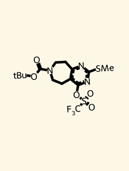 CSc1nc2c(c(OS(=O)(=O)C(F)(F)F)n1)CCN(C(=O)OC(C)(C)C)CC2